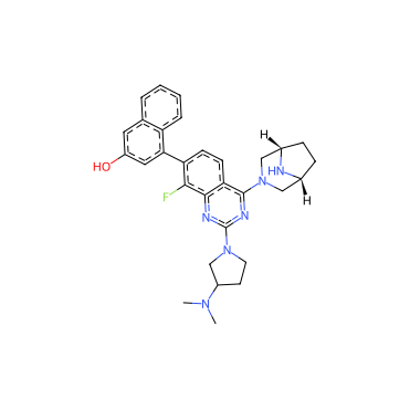 CN(C)C1CCN(c2nc(N3C[C@H]4CC[C@@H](C3)N4)c3ccc(-c4cc(O)cc5ccccc45)c(F)c3n2)C1